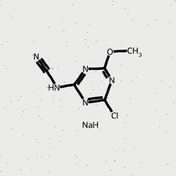 COc1nc(Cl)nc(NC#N)n1.[NaH]